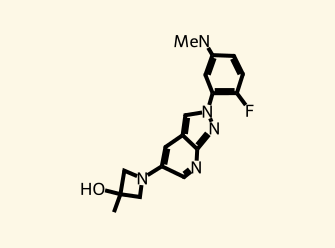 CNc1ccc(F)c(-n2cc3cc(N4CC(C)(O)C4)cnc3n2)c1